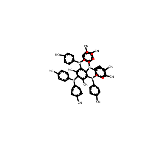 N#Cc1ccc(N(c2ccc(C#N)cc2)c2c(C#N)c(N(c3ccc(C#N)cc3)c3ccc(C#N)cc3)c(N(c3ccc(C#N)cc3)c3ccc(C#N)cc3)c(N(c3ccc(C#N)cc3)c3ccc(C#N)cc3)c2C#N)cc1